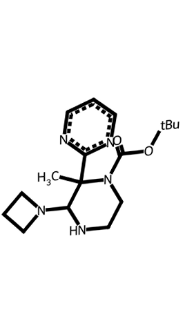 CC(C)(C)OC(=O)N1CCNC(N2CCC2)C1(C)c1ncccn1